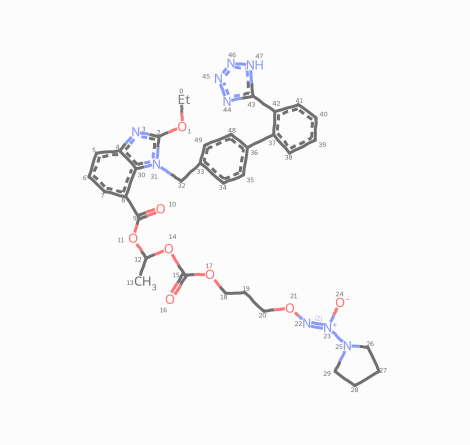 CCOc1nc2cccc(C(=O)OC(C)OC(=O)OCCCO/N=[N+](\[O-])N3CCCC3)c2n1Cc1ccc(-c2ccccc2-c2nnn[nH]2)cc1